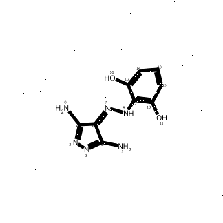 NC1=NN=C(N)C1=NNc1c(O)cccc1O